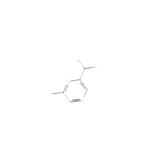 CC(=O)OC(C)c1cncc(Cl)n1